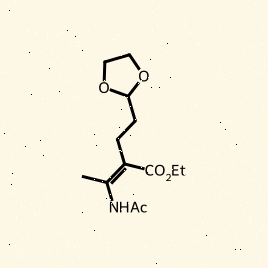 CCOC(=O)/C(CCC1OCCO1)=C(/C)NC(C)=O